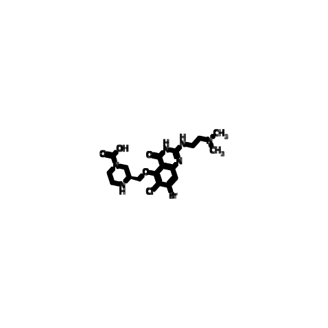 CN(C)CCNc1nc2cc(Br)c(Cl)c(OC[C@@H]3CN(C(=O)O)CCN3)c2c(=O)[nH]1